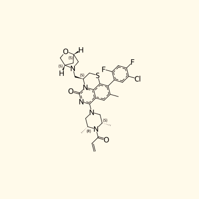 C=CC(=O)N1[C@H](C)CN(c2nc(=O)n3c4c(c(-c5cc(Cl)c(F)cc5F)c(C)cc24)SC[C@@H]3CN2C[C@@H]3C[C@H]2CO3)C[C@@H]1C